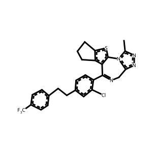 Cc1nnc2n1-c1sc3c(c1C(c1ccc(CCc4ccc(C(F)(F)F)cc4)cc1Cl)=NC2)CCC3